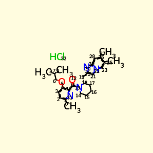 Cc1ccc(OCC(C)C)c(C(=O)N2CCCC[C@H]2Cc2cn3cc(C)c(C)cc3n2)n1.Cl